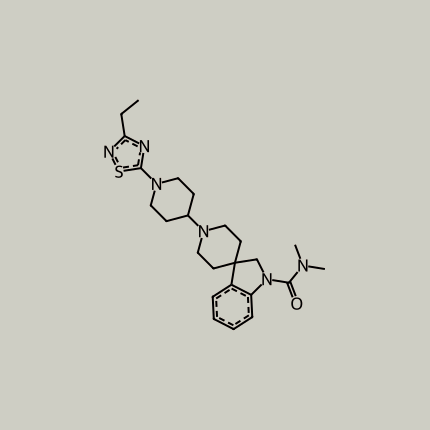 CCc1nsc(N2CCC(N3CCC4(CC3)CN(C(=O)N(C)C)c3ccccc34)CC2)n1